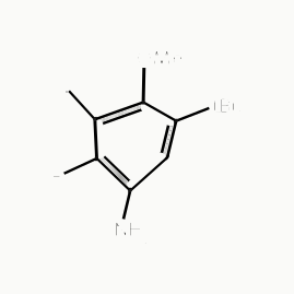 COc1c(C(C)(C)C)cc(N)c(F)c1I